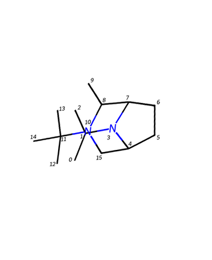 CC(C)N1C2CCC1C(C)N(C(C)(C)C)C2